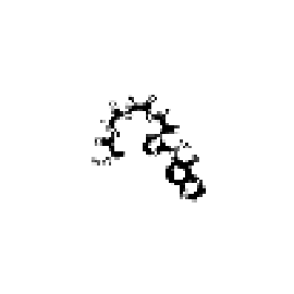 CC(=O)O[C@@H](C)C(=O)O[C@@H](C)C(=O)O[C@@H](C)C(=O)O[C@@H](C)C(=O)N1CCN=C1N(C(C)=O)c1ccc2nccnc2c1Br